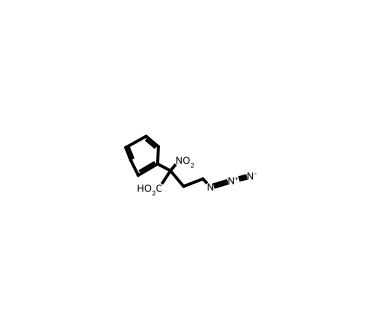 [N-]=[N+]=NCCC(C(=O)O)(c1ccccc1)[N+](=O)[O-]